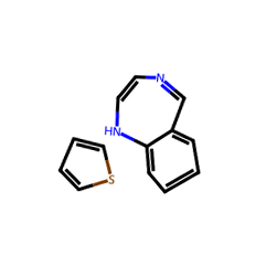 C1=CNc2ccccc2C=N1.c1ccsc1